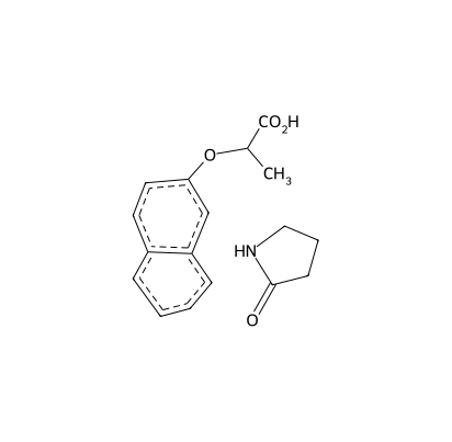 CC(Oc1ccc2ccccc2c1)C(=O)O.O=C1CCCN1